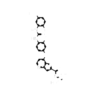 Cc1ccc(F)c(NC(=O)Nc2ccc(Oc3ccnc4cc(C(=O)N=S(C)(C)=O)sc34)cc2F)c1